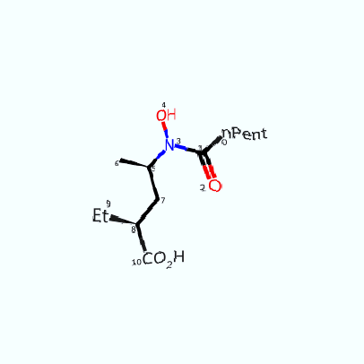 CCCCCC(=O)N(O)[C@H](C)C[C@H](CC)C(=O)O